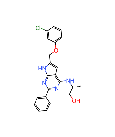 C[C@H](CO)Nc1nc(-c2ccccc2)nc2[nH]c(COc3cccc(Cl)c3)cc12